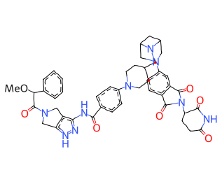 COC(C(=O)N1Cc2[nH]nc(NC(=O)c3ccc(N4CCC(CN5C6CC5CN(c5ccc7c(c5)C(=O)N(C5CCC(=O)NC5=O)C7=O)C6)CC4)cc3)c2C1)c1ccccc1